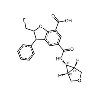 O=C(N[C@H]1[C@@H]2COC[C@@H]21)c1cc(C(=O)O)c2c(c1)C(c1ccccc1)C(CF)O2